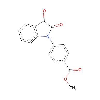 COC(=O)c1ccc(N2C(=O)C(=O)c3ccccc32)cc1